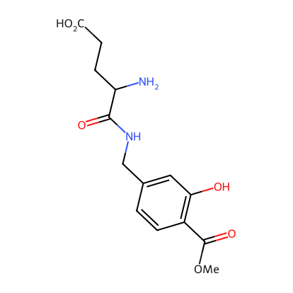 COC(=O)c1ccc(CNC(=O)C(N)CCC(=O)O)cc1O